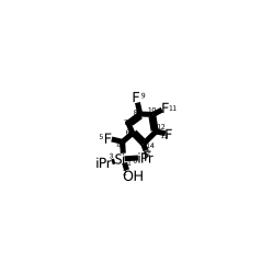 CC(C)[Si](O)(C(C)C)C(F)c1cc(F)c(F)c(F)c1F